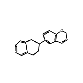 C1=Cc2cc(C3CCc4ccccc4C3)ccc2OC1